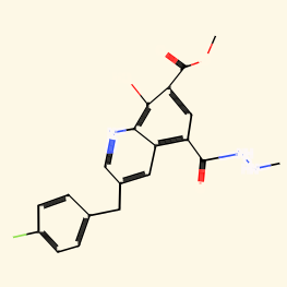 CNNC(=O)c1cc(C(=O)OC)c(O)c2ncc(Cc3ccc(F)cc3)cc12